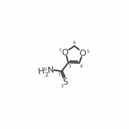 NC(=S)C1=COCO1